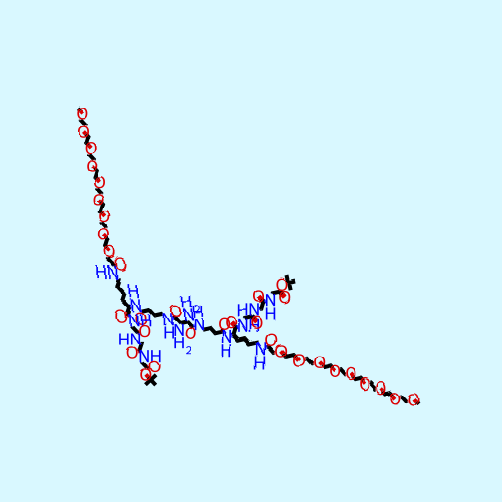 COCCOCCOCCOCCOCCOCCOCCOCCOCC(=O)NCCCCC(NC(=O)CCCNC(=O)C(N)C(N)C(=O)NCCCC(=O)NC(CCCCNC(=O)COCCOCCOCCOCCOCCOCCOCCOCCOC)C(=O)NCC(=O)NCC(=O)NCC(=O)OC(C)(C)C)C(=O)NCC(=O)NCC(=O)NCC(=O)OC(C)(C)C